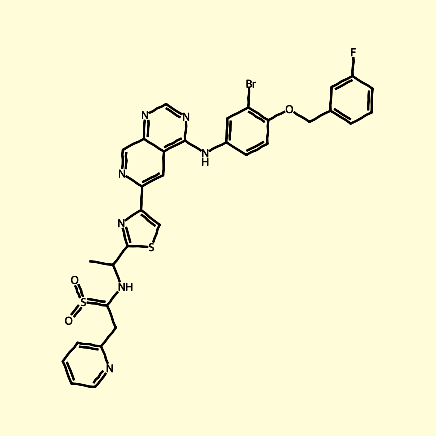 CC(NC(Cc1ccccn1)=S(=O)=O)c1nc(-c2cc3c(Nc4ccc(OCc5cccc(F)c5)c(Br)c4)ncnc3cn2)cs1